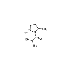 CCC(C)C(CC)C(=O)N1C(C)CC[C@H]1CC